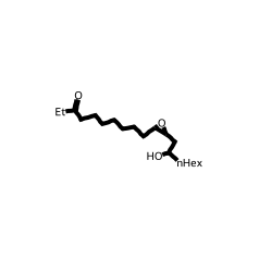 CCCCCCC(O)CC1OC1CCCCCCCC(=O)CC